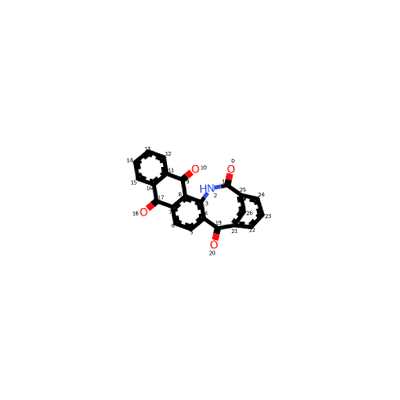 O=C1Nc2c(ccc3c2C(=O)c2ccccc2C3=O)C(=O)c2cccc1c2